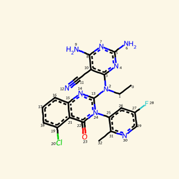 CCN(c1nc(N)nc(N)c1C#N)c1nc2cccc(Cl)c2c(=O)n1-c1cc(F)cnc1C